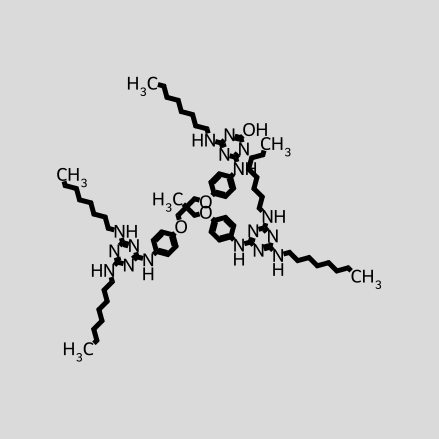 CCCCCCCCNc1nc(O)nc(Nc2ccc(OCC(C)(COc3ccc(Nc4nc(NCCCCCCCC)nc(NCCCCCCCC)n4)cc3)COc3ccc(Nc4nc(NCCCCCCCC)nc(NCCCCCCCC)n4)cc3)cc2)n1